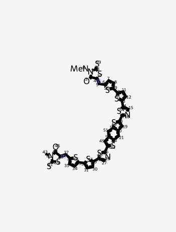 CNN1C(=O)/C(=C/c2ccc(-c3ccc(-c4cnc(-c5cc6cc7sc(-c8ncc(-c9ccc(-c%10ccc(/C=C%11\SC(=S)N(C)C%11=O)s%10)s9)s8)cc7cc6s5)s4)s3)s2)SC1=S